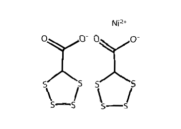 O=C([O-])C1SSSS1.O=C([O-])C1SSSS1.[Ni+2]